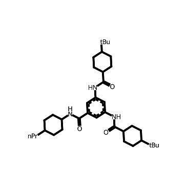 CCCC1CCC(NC(=O)c2cc(NC(=O)C3CCC(C(C)(C)C)CC3)cc(NC(=O)C3CCC(C(C)(C)C)CC3)c2)CC1